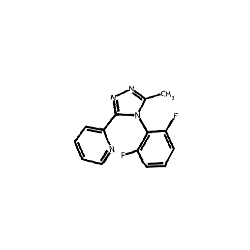 Cc1nnc(-c2ccccn2)n1-c1c(F)cccc1F